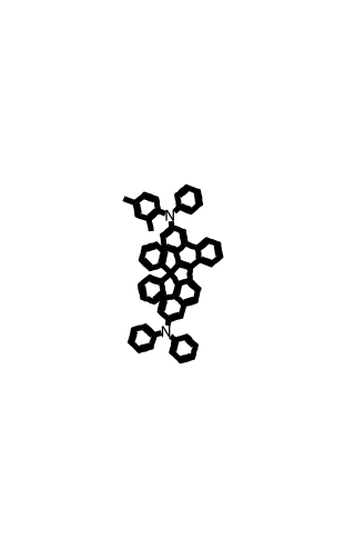 Cc1ccc(N(c2ccccc2)c2ccc3c4c(c5ccccc5c3c2)-c2ccc3cc(N(c5ccccc5)c5ccccc5)ccc3c2C4(c2ccccc2)c2ccccc2)c(C)c1